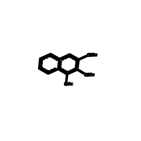 COc1cc2ccccc2c(OC(C)=O)c1OC